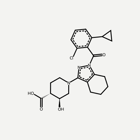 O=C(O)[C@@H]1CCN(c2nn(C(=O)c3c(Cl)cccc3C3CC3)c3c2CCCC3)C[C@H]1O